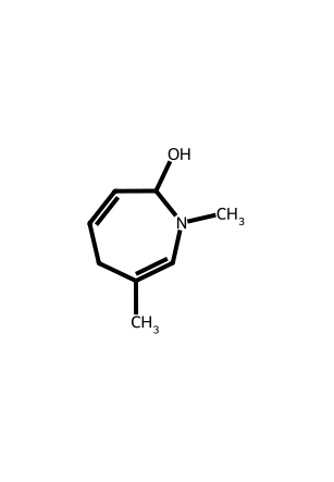 CC1=CN(C)C(O)C=CC1